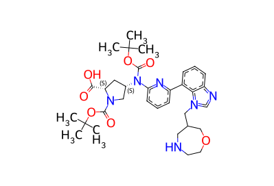 CC(C)(C)OC(=O)N1C[C@@H](N(C(=O)OC(C)(C)C)c2cccc(-c3cccc4ncn(CC5CNCCOC5)c34)n2)C[C@H]1C(=O)O